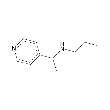 CCCNC(C)c1ccncc1